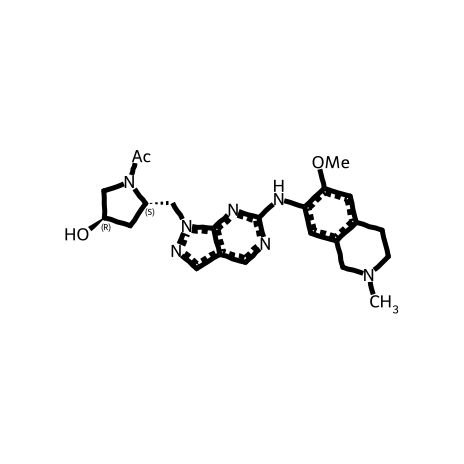 COc1cc2c(cc1Nc1ncc3cnn(C[C@@H]4C[C@@H](O)CN4C(C)=O)c3n1)CN(C)CC2